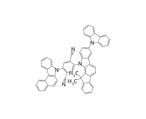 CC1(C)c2ccccc2-c2ccc3c4cc(-n5c6ccccc6c6ccccc65)ccc4n(-c4cc(C#N)c(-n5c6ccccc6c6c7ccccc7ccc65)cc4C#N)c3c21